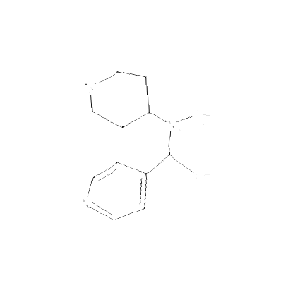 CC(c1ccncc1)N(C)C1CCNCC1